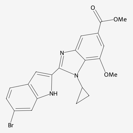 COC(=O)c1cc(OC)c2c(c1)nc(-c1cc3ccc(Br)cc3[nH]1)n2C1CC1